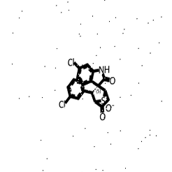 O=C1CC2[S+]([O-])C1C(c1cccc(Cl)c1)[C@]21C(=O)Nc2cc(Cl)ccc21